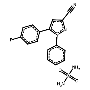 N#Cc1cc(-c2ccc(F)cc2)n(-c2ccccc2)n1.NS(N)(=O)=O